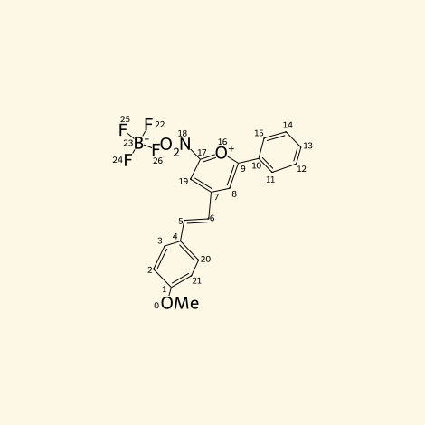 COc1ccc(C=Cc2cc(-c3ccccc3)[o+]c([N+](=O)[O-])c2)cc1.F[B-](F)(F)F